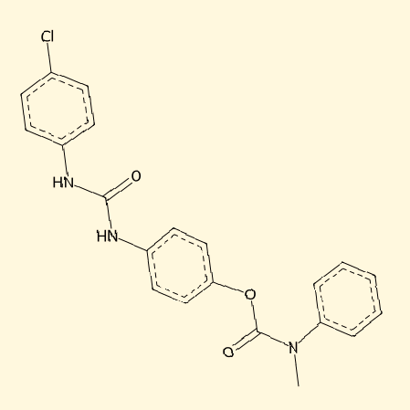 CN(C(=O)Oc1ccc(NC(=O)Nc2ccc(Cl)cc2)cc1)c1ccccc1